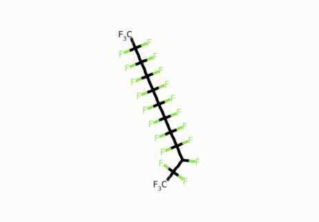 F[C](C(F)(F)C(F)(F)F)C(F)(F)C(F)(F)C(F)(F)C(F)(F)C(F)(F)C(F)(F)C(F)(F)C(F)(F)C(F)(F)F